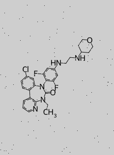 CCN1C(=O)N(c2c(F)cc(NCCNC3CCOCC3)cc2F)c2cc(Cl)ccc2-c2cccnc21